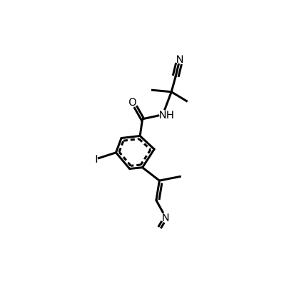 C=N/C=C(\C)c1cc(I)cc(C(=O)NC(C)(C)C#N)c1